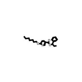 CCCCCCCOc1ccc(C(=O)OC(CC)c2ccccc2)cn1